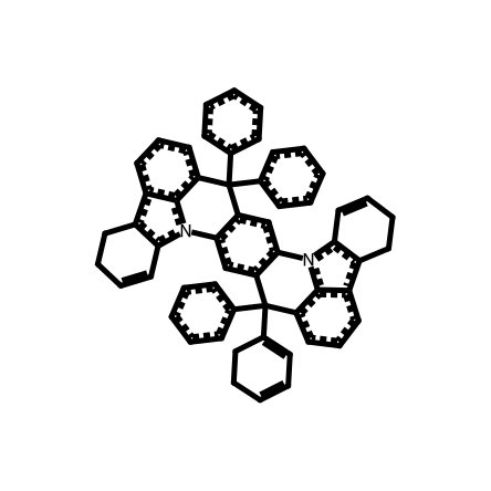 C1=CCCC(C2(c3ccccc3)c3cc4c(cc3-n3c5c(c6cccc2c63)CCC=C5)C(c2ccccc2)(c2ccccc2)c2cccc3c5c(n-4c23)C=CCC5)=C1